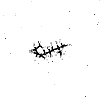 FC1OC(F)(C(F)(F)C(F)(F)C(F)(C(F)(F)F)C(F)(F)F)C(F)(F)C(F)(F)C1(F)F